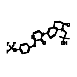 CC(C)(O)Cn1c(=O)ccc2cc(-n3ccnc(Sc4ccc(OC(F)(F)F)cc4)c3=O)ccc21